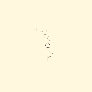 CCn1nnc2c(C)c(C(CC(=O)O)c3ccc4c(c3)CN(C(=O)c3ccn(C)n3)CC4)ccc21